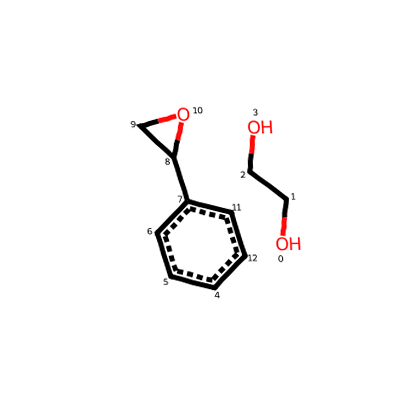 OCCO.c1ccc(C2CO2)cc1